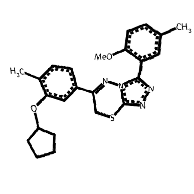 COc1ccc(C)cc1-c1nnc2n1N=C(c1ccc(C)c(OC3CCCC3)c1)CS2